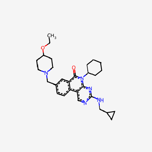 CCOC1CCN(Cc2ccc3c(c2)c(=O)n(C2CCCCC2)c2nc(NCC4CC4)ncc32)CC1